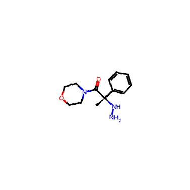 C[C@@](NN)(C(=O)N1CCOCC1)c1ccccc1